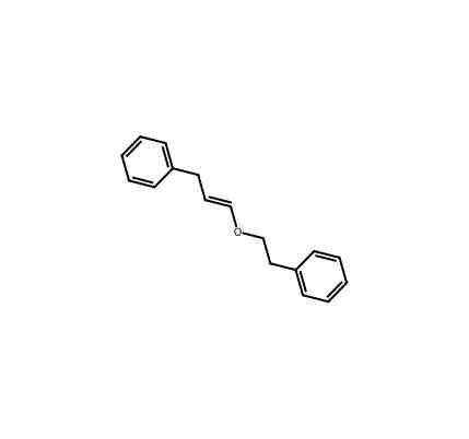 C(=COCCc1ccccc1)Cc1ccccc1